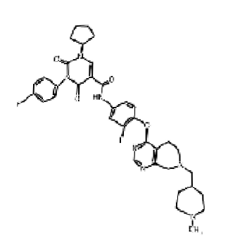 CN1CCC(CN2CCc3c(ncnc3Oc3ccc(NC(=O)c4cn(C5CCCC5)c(=O)n(-c5ccc(F)cc5)c4=O)cc3F)C2)CC1